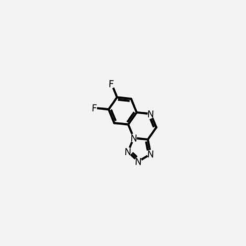 Fc1cc2ncc3nnnn3c2cc1F